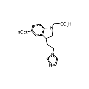 CCCCCCCCc1ccc2c(c1)C(CCn1ccnc1)CN2CC(=O)O